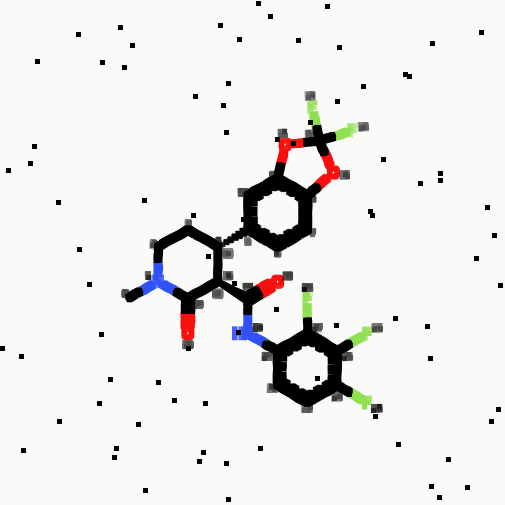 CN1CC[C@H](c2ccc3c(c2)OC(F)(F)O3)[C@@H](C(=O)Nc2ccc(F)c(F)c2F)C1=O